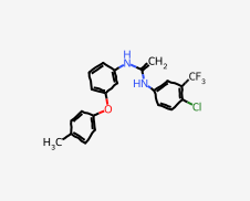 C=C(Nc1cccc(Oc2ccc(C)cc2)c1)Nc1ccc(Cl)c(C(F)(F)F)c1